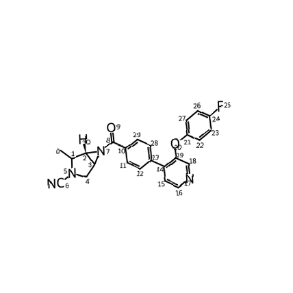 CC1[C@H]2C(CN1C#N)N2C(=O)c1ccc(-c2ccncc2Oc2ccc(F)cc2)cc1